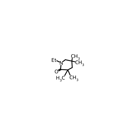 CCN1CC(C)(C)CC(C)(C)C1=O